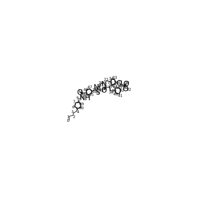 CCCCCc1ccc(CNC(=O)c2ccc(-c3nc(CN(Cc4ccc(OCC(=O)OC)cc4)C(=O)/C=C/c4ccccc4)cs3)cc2)cc1